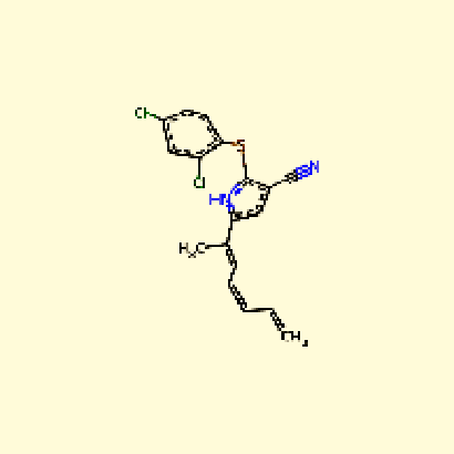 C=C/C=C\C=C(/C)c1cc(C#N)c(Sc2ccc(Cl)cc2Cl)[nH]1